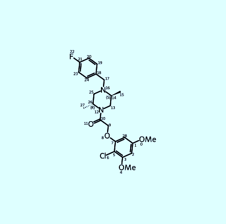 COc1cc(OC)c(Cl)c(OCC(=O)N2C[C@H](C)N(Cc3ccc(F)cc3)C[C@H]2C)c1